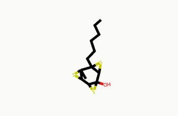 CCCCCCC12SC1C1(O)SC1C1SC12C